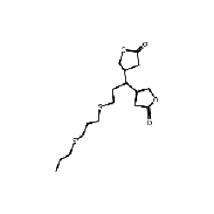 CCCSCCCSCCC(C1COC(=O)C1)C1COC(=O)C1